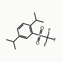 CC(C)c1ccc(C(C)C)c(S(=O)(=O)C(F)(F)F)c1